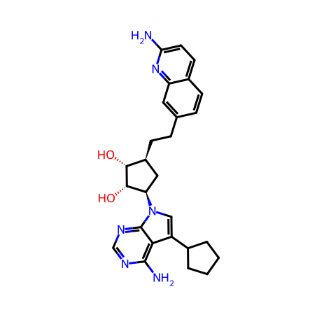 Nc1ccc2ccc(CC[C@H]3C[C@@H](n4cc(C5CCCC5)c5c(N)ncnc54)[C@H](O)[C@@H]3O)cc2n1